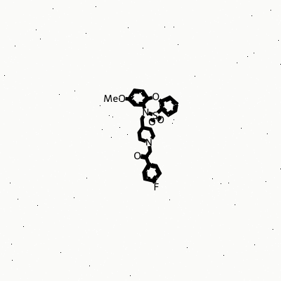 COc1ccc2c(c1)N(CC1CCN(CC(=O)c3ccc(F)cc3)CC1)S(=O)(=O)c1ccccc1O2